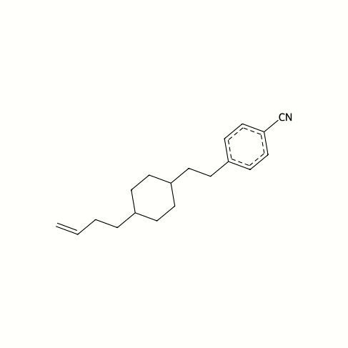 C=CCCC1CCC(CCc2ccc(C#N)cc2)CC1